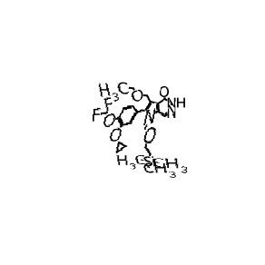 CCOCc1c(-c2ccc(OC(F)F)c(OC3CC3)c2)n(COCC[Si](C)(C)C)c2cn[nH]c(=O)c12